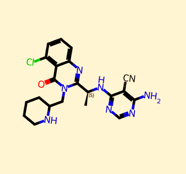 C[C@H](Nc1ncnc(N)c1C#N)c1nc2cccc(Cl)c2c(=O)n1CC1CCCCN1